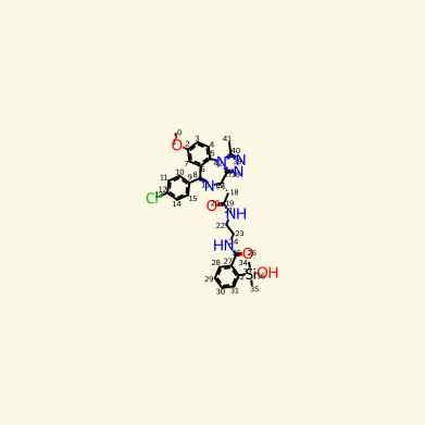 COc1ccc2c(c1)C(c1ccc(Cl)cc1)=N[C@@H](CC(=O)NCCNC(=O)c1ccccc1[Si](C)(C)O)c1nnc(C)n1-2